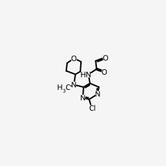 CN(c1nc(Cl)ncc1NC(=O)C=O)C1CCOCC1